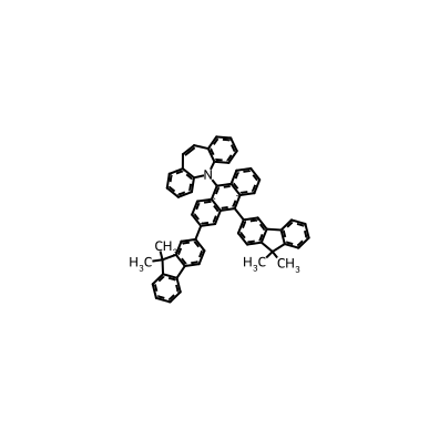 CC1(C)c2ccccc2-c2cc(-c3c4ccccc4c(N4c5ccccc5C=Cc5ccccc54)c4ccc(-c5ccc6c(c5)C(C)(C)c5ccccc5-6)cc34)ccc21